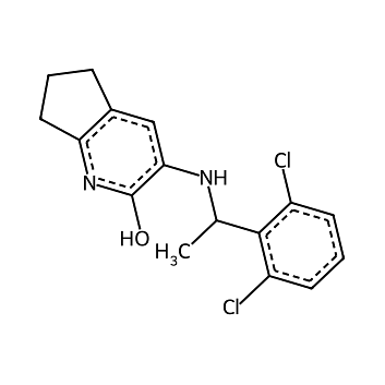 CC(Nc1cc2c(nc1O)CCC2)c1c(Cl)cccc1Cl